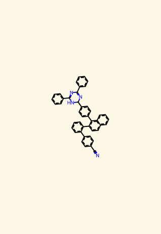 N#Cc1ccc(-c2ccccc2-c2ccc3ccccc3c2-c2ccc(C3N=C(c4ccccc4)N=C(c4ccccc4)N3)cc2)cc1